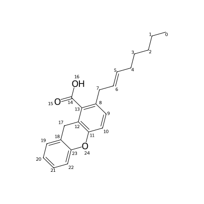 CCCCCC=CCc1ccc2c(c1C(=O)O)Cc1ccccc1O2